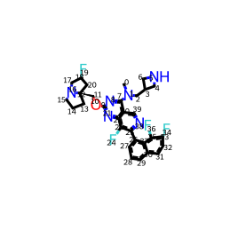 CN(CC1CNC1)c1nc(OC[C@@]23CCCN2C[C@H](F)C3)nc2c(F)c(-c3cccc4ccc(F)c(F)c34)ncc12